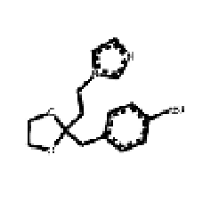 CC(C)(C)c1ccc(CC2(CCn3ccnc3)OCCO2)cc1